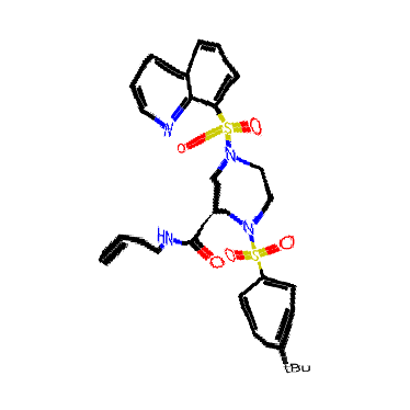 C=CCNC(=O)[C@H]1CN(S(=O)(=O)c2cccc3cccnc23)CCN1S(=O)(=O)c1ccc(C(C)(C)C)cc1